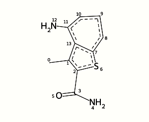 Cc1c(C(N)=O)sc2cccc(N)c12